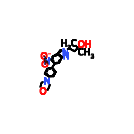 CC(C)(O)CCn1cc2cc([N+](=O)[O-])c(-c3ccc(N4CCOCC4)cc3)cc2n1